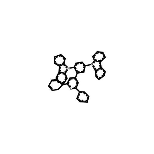 C1=CCC(c2cc(-c3cc(-n4c5ccccc5c5ccccc54)ccc3-n3c4ccccc4c4ccccc43)cc(-c3ccccc3)n2)C=C1